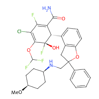 CO[C@H]1CC[C@@H](NCC2(c3ccccc3)Cc3c(cccc3[C@H]3C(C(N)=O)=C(F)C(Cl)=C(OC(F)F)[C@@]3(O)F)O2)CC1